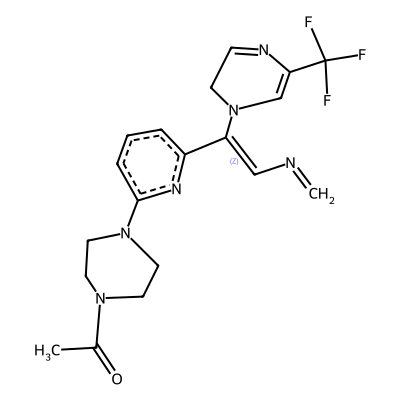 C=N/C=C(/c1cccc(N2CCN(C(C)=O)CC2)n1)N1C=C(C(F)(F)F)N=CC1